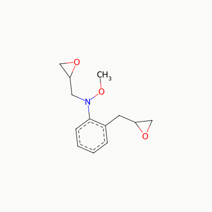 CON(CC1CO1)c1ccccc1CC1CO1